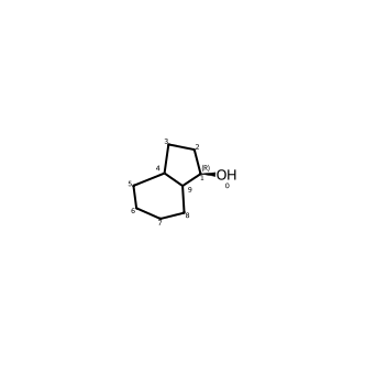 O[C@@H]1CCC2CCCCC21